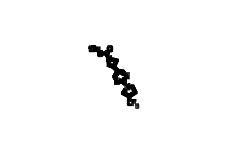 CC(C)(C)OC(=O)N1CC(c2cnc(N3CCC(C(F)(F)F)C3)nc2)C1